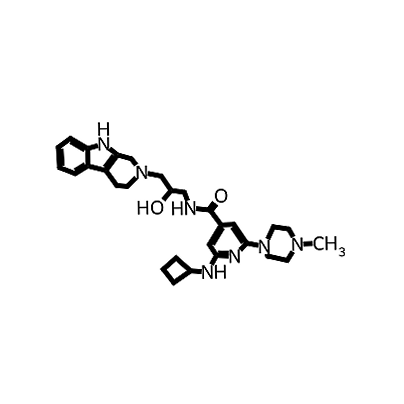 CN1CCN(c2cc(C(=O)NCC(O)CN3CCc4c([nH]c5ccccc45)C3)cc(NC3CCC3)n2)CC1